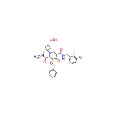 CN1C[C@]2(C[C@@H](CO)C2)n2cc(C(=O)NCc3cccc(Cl)c3F)c(=O)c(OCc3ccccc3)c2C1=O